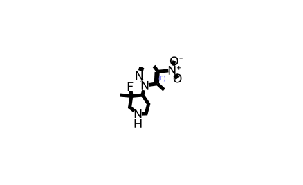 C=NN(/C(C)=C(\C)[N+](=O)[O-])C1CCNCC1(C)F